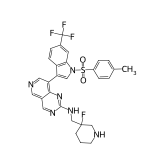 Cc1ccc(S(=O)(=O)n2cc(-c3cncc4cnc(NCC5(F)CCCNC5)nc34)c3ccc(C(F)(F)F)cc32)cc1